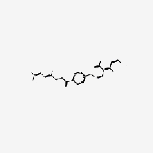 C=C(C)C(/C=N\Cc1ccc(C(=O)CC/C(C)=C/C=C(C)C)cc1)=C(N)\C=C/C